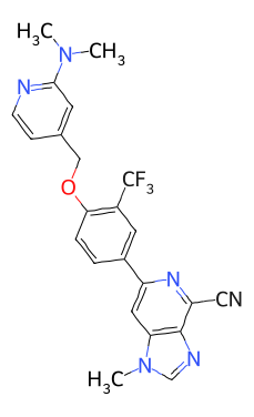 CN(C)c1cc(COc2ccc(-c3cc4c(ncn4C)c(C#N)n3)cc2C(F)(F)F)ccn1